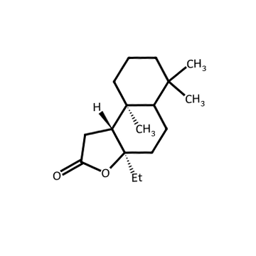 CC[C@@]12CCC3C(C)(C)CCC[C@]3(C)[C@H]1CC(=O)O2